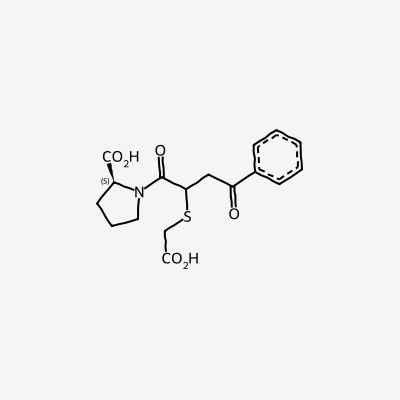 O=C(O)CSC(CC(=O)c1ccccc1)C(=O)N1CCC[C@H]1C(=O)O